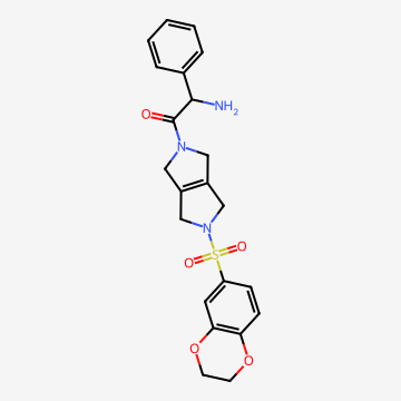 NC(C(=O)N1CC2=C(C1)CN(S(=O)(=O)c1ccc3c(c1)OCCO3)C2)c1ccccc1